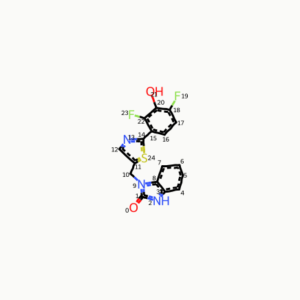 O=c1[nH]c2ccccc2n1Cc1cnc(-c2ccc(F)c(O)c2F)s1